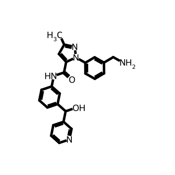 Cc1cc(C(=O)Nc2cccc(C(O)c3cccnc3)c2)n(-c2cccc(CN)c2)n1